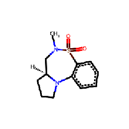 CN1C[C@@H]2CCCN2c2ccccc2S1(=O)=O